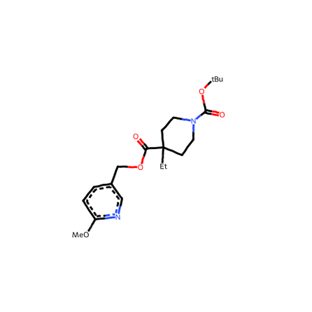 CCC1(C(=O)OCc2ccc(OC)nc2)CCN(C(=O)OC(C)(C)C)CC1